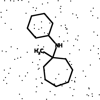 CC1(NC2CCCCC2)CCCCCC1